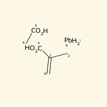 C=C(C)C(=O)O.CC(=O)O.[PbH2]